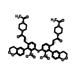 CC(=O)N1CCN(C(=O)/C=C/c2ccc(Sc3ccc(/C=C/C(=O)N4CCN(C(C)=O)CC4)c(-c4ccc5c(c4)CCOO5)c3[N+](=O)[O-])c([N+](=O)[O-])c2-c2ccc3c(c2)CCOO3)CC1